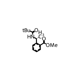 COC(=O)c1ccccc1[C@@H](C)NC(=O)C(C)(C)C